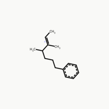 C/C=C(\C)C(C)CCCc1ccccc1